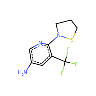 Nc1cnc(N2CCCS2)c(C(F)(F)F)c1